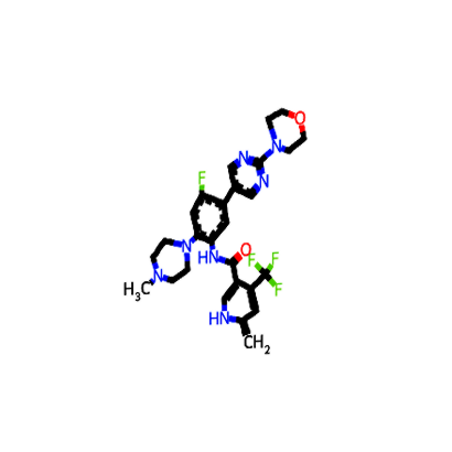 C=C1C=C(C(F)(F)F)C(C(=O)Nc2cc(-c3cnc(N4CCOCC4)nc3)c(F)cc2N2CCN(C)CC2)=CN1